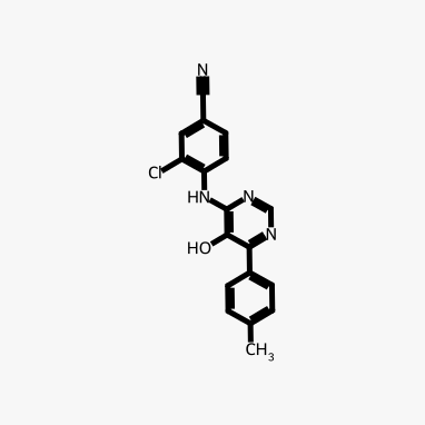 Cc1ccc(-c2ncnc(Nc3ccc(C#N)cc3Cl)c2O)cc1